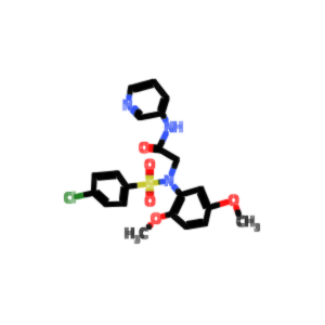 COc1ccc(OC)c(N(CC(=O)Nc2cccnc2)S(=O)(=O)c2ccc(Cl)cc2)c1